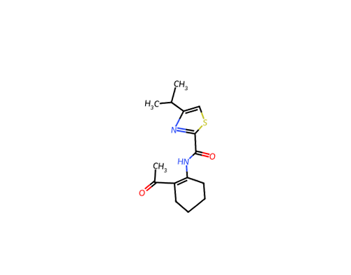 CC(=O)C1=C(NC(=O)c2nc(C(C)C)cs2)CCCC1